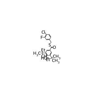 CCC(C)(C)c1cc(C(=O)SCc2ccc(Cl)c(F)c2)cc(C(C)(C)CC)c1O